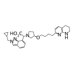 O=C(O)C(c1cccc2cn(CC3CC3)nc12)N1CC[C@@H](OCCCCc2ccc3c(n2)NCCC3)C1